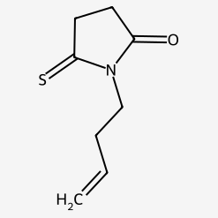 C=CCCN1C(=O)CCC1=S